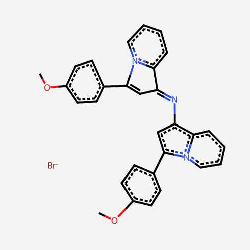 COc1ccc(C2=C/C(=N\c3cc(-c4ccc(OC)cc4)n4ccccc34)c3cccc[n+]32)cc1.[Br-]